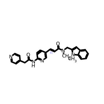 CN(Cc1cc2ccccc2n1C)C(=O)/C=C/c1c#cc(NC(=O)Cc2ccncc2)nc1